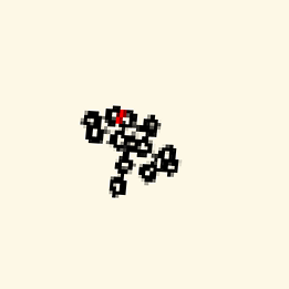 c1ccc(-c2ccc(-c3c4cc(N(c5ccccc5)c5cccc6ccccc56)ccc4c(N(c4ccccc4)c4ccccc4)c4cc(N(c5ccccc5)c5cccc6ccccc56)ccc34)cc2)cc1